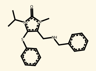 CC(C)n1c(Sc2ccccc2)c(CNCc2ccccc2)n(C)c1=O